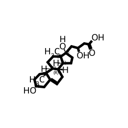 C[C@]12CC[C@H](O)CC1=CC[C@@H]1[C@@H]2CC[C@@]2(C)[C@H]1CC[C@]2(O)CC(O)CC(=O)O